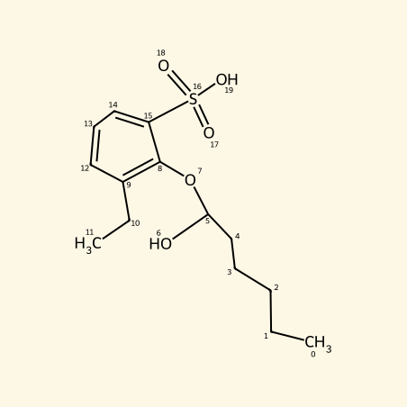 CCCCCC(O)Oc1c(CC)cccc1S(=O)(=O)O